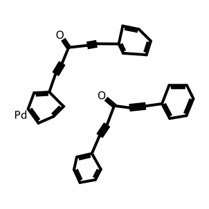 O=C(C#Cc1ccccc1)C#Cc1ccccc1.O=C(C#Cc1ccccc1)C#Cc1ccccc1.[Pd]